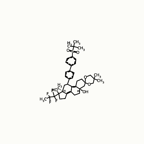 CC1(C)COC2(CCC3=C4C(=C5CCC(O)(C(F)(F)C(C)(F)F)[C@@]5(C)CC4c4ccc(-c5ccc(S(=O)(=O)C(C)(C)C)cc5)cc4)CC[C@@]3(O)C2)OC1